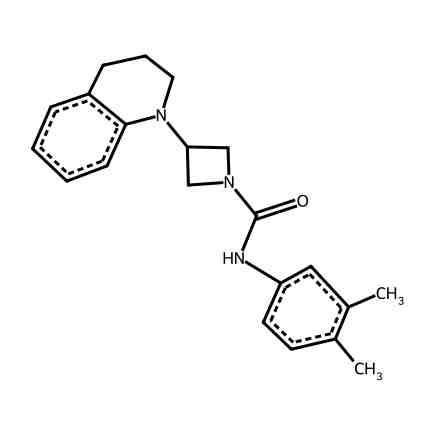 Cc1ccc(NC(=O)N2CC(N3CCCc4ccccc43)C2)cc1C